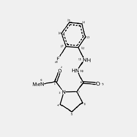 CNC(=O)N1CCCC1C(=O)NNc1ccccc1F